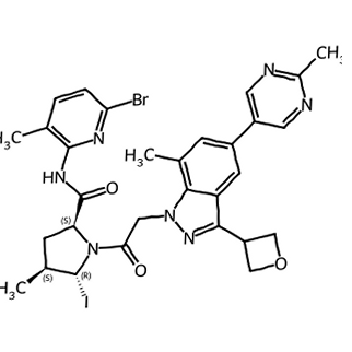 Cc1ncc(-c2cc(C)c3c(c2)c(C2COC2)nn3CC(=O)N2[C@H](I)[C@@H](C)C[C@H]2C(=O)Nc2nc(Br)ccc2C)cn1